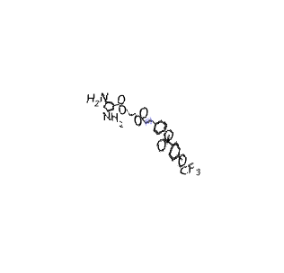 Nc1cc(N)cc(C(=O)OCCCOC(=O)/C=C/c2ccc(OC(=O)c3ccc(OCC(F)(F)F)cc3)cc2)c1